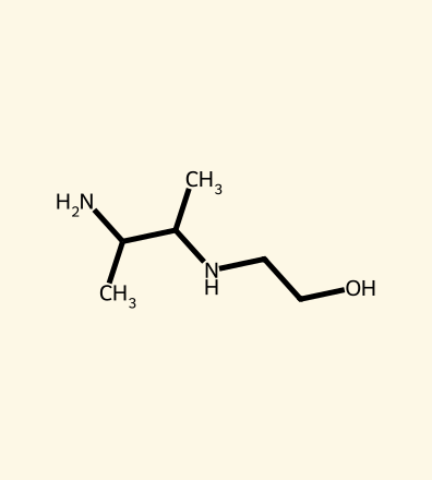 CC(N)C(C)NCCO